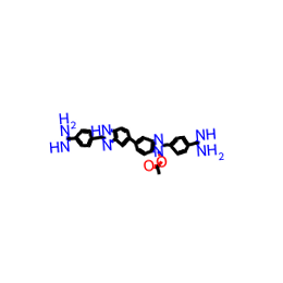 CC(=O)On1c(-c2ccc(C(=N)N)cc2)nc2cc(-c3ccc4[nH]c(-c5ccc(C(=N)N)cc5)nc4c3)ccc21